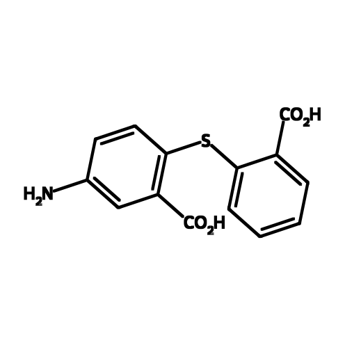 Nc1ccc(Sc2ccccc2C(=O)O)c(C(=O)O)c1